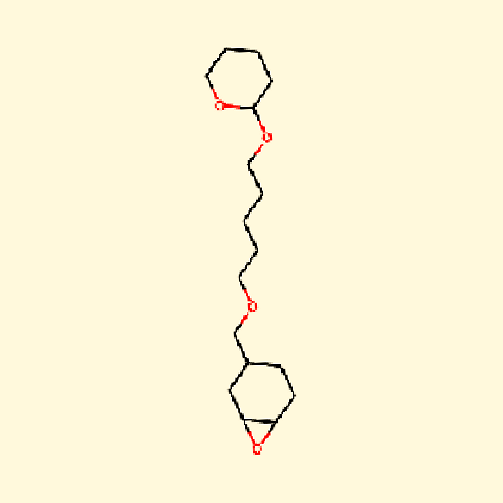 C(CCOCC1CCC2OC2C1)CCOC1CCCCO1